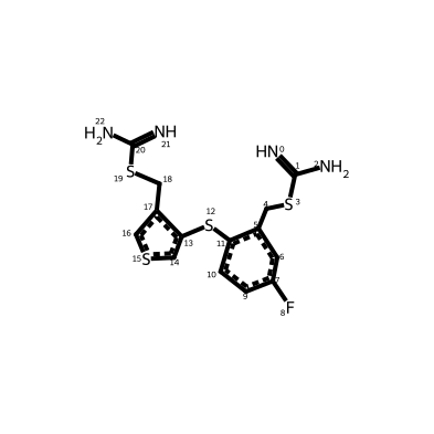 N=C(N)SCc1cc(F)ccc1Sc1cscc1CSC(=N)N